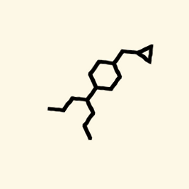 CCCC(CCC)C1CCC(CC2CC2)CC1